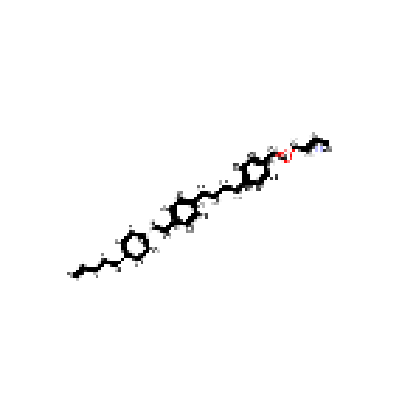 C=CCCC[C@H]1CC[C@H](CCc2ccc(CCCCc3ccc(COC/C=C/C)cc3)cc2)CC1